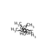 CCCCc1c(O)c(O)c(CCCC)c(OCCC)c1OCCC